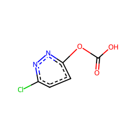 O=C(O)Oc1ccc(Cl)nn1